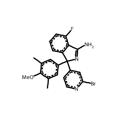 COc1c(C)cc(C2(c3ccnc(Br)c3)N=C(N)c3c(F)cccc32)cc1C